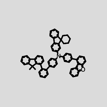 CC1(C)c2ccccc2-c2cccc(-c3ccccc3-c3ccc(N(c4ccc(-c5cccc6oc7ccccc7c56)cc4)c4ccc5c(c4)C4(CCCCC4)c4ccccc4-5)cc3)c21